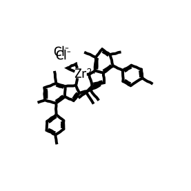 Cc1ccc(-c2c(C)cc(C)c3c2C=C(C(C)C)[CH]3[Zr+2]2([CH]3C(C(C)C)=Cc4c(-c5ccc(C)cc5)c(C)cc(C)c43)[CH2][CH2]2)cc1.[Cl-].[Cl-]